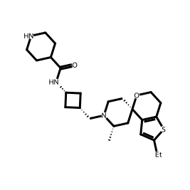 CCc1cc2c(s1)CCO[C@@]21CCN(C[C@H]2C[C@@H](NC(=O)C3CCNCC3)C2)[C@@H](C)C1